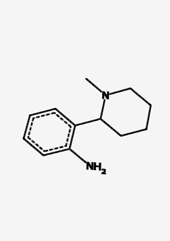 CN1CCCCC1c1ccccc1N